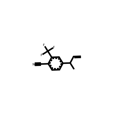 [CH2]C(C=C)c1ccc(C#N)c(C(F)(F)F)c1